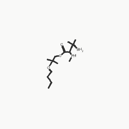 BC(C)(C)C(PC)C(=O)OCC(C)(C)OCCCC